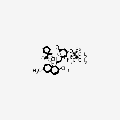 CSC1(C(=O)O[C@H]2C[C@@H](C)C=C3C=C[C@H](C)[C@H](CC[C@@H]4C[C@@H](O[Si](C)(C)C(C)(C)C)CC(=O)O4)[C@H]32)CCCC1